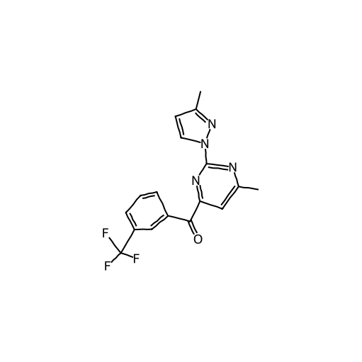 Cc1cc(C(=O)c2cccc(C(F)(F)F)c2)nc(-n2ccc(C)n2)n1